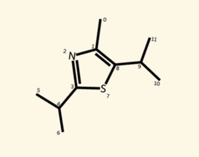 Cc1nc(C(C)C)sc1C(C)C